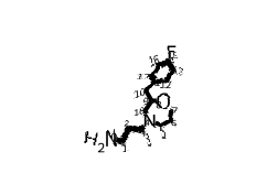 NCCCN1CCCOC(Cc2ccc(F)cc2)C1